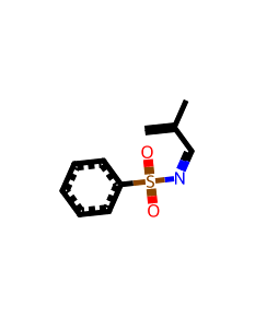 C=C(C)/C=N\S(=O)(=O)c1ccccc1